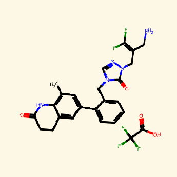 Cc1cc(-c2ccccc2Cn2cnn(CC(CN)=C(F)F)c2=O)cc2c1NC(=O)CC2.O=C(O)C(F)(F)F